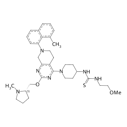 COCCNC(=S)NC1CCN(c2nc(OC[C@@H]3CCCN3C)nc3c2CCN(c2cccc4cccc(C)c24)C3)CC1